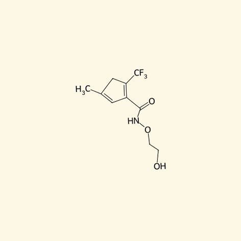 CC1=CC(C(=O)NOCCO)=C(C(F)(F)F)C1